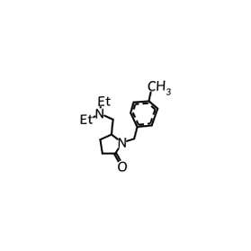 CCN(CC)CC1CCC(=O)N1Cc1ccc(C)cc1